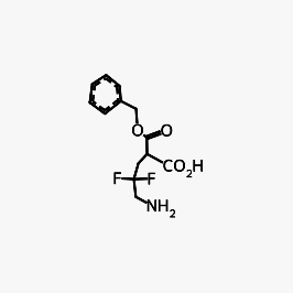 NCC(F)(F)CC(C(=O)O)C(=O)OCc1ccccc1